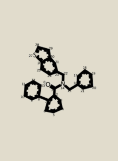 O=C(c1ccccc1-c1ccccc1)N(Cc1ccccc1)Cc1ccc2sccc2c1